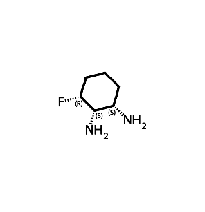 N[C@@H]1[C@H](F)CCC[C@@H]1N